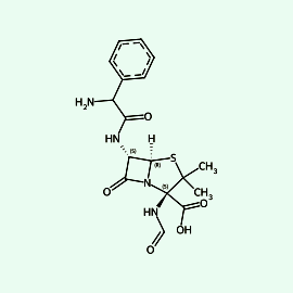 CC1(C)S[C@@H]2[C@@H](NC(=O)C(N)c3ccccc3)C(=O)N2[C@@]1(NC=O)C(=O)O